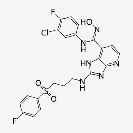 O=S(=O)(CCCNc1nc2nccc(/C(=N/O)Nc3ccc(F)c(Cl)c3)c2[nH]1)c1ccc(F)cc1